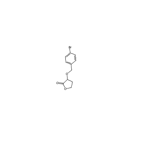 O=C1OCCC1OCc1ccc(Br)cc1